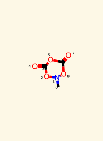 CN1OC(=O)OC(=O)O1